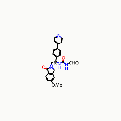 COc1ccc2c(c1)CN(C[C@H](NC(=O)NC=O)c1ccc(-c3ccncc3)cc1)C2=O